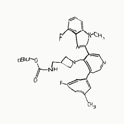 Cc1cc(F)cc(-c2cncc(-c3nc4c(F)cccc4n3C)c2N2CC(CNC(=O)OC(C)(C)C)C2)c1